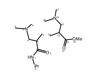 CC(C)NC(=O)C(C)CN(C)C.COC(=O)C(C)CN(C)C